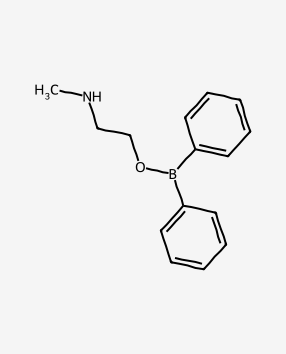 CNCCOB(c1ccccc1)c1ccccc1